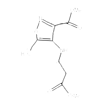 COC(=O)CCNc1c(C(=O)OC)noc1C